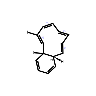 IC1=C\C2(I)C=CC=C[C@H]2/C=C/C=C/C=C\1